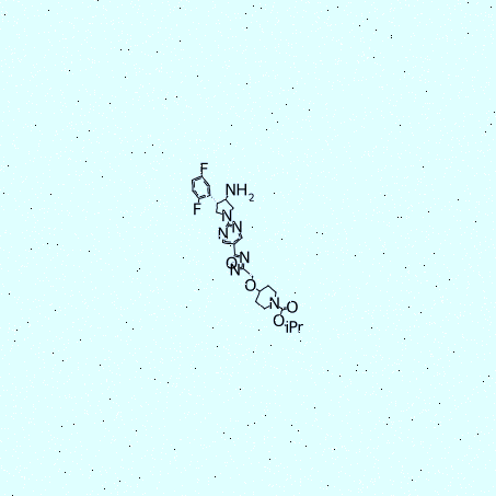 CC(C)OC(=O)N1CCC(OCc2noc(-c3cnc(N4C[C@H](c5cc(F)ccc5F)[C@@H](N)C4)nc3)n2)CC1